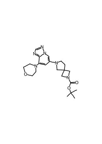 CC(C)(C)OC(=O)N1CC2(CCN(c3cc(N4CCOCC4)c4ncnn4c3)C2)C1